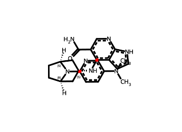 CN(C)c1ccc(N2[C@@H]3CC[C@H]2C[C@H](Nc2c(C(N)=O)cnc4[nH]ccc24)C3)nc1